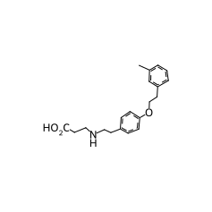 Cc1cccc(CCOc2ccc(CCNCCC(=O)O)cc2)c1